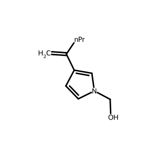 C=C(CCC)c1ccn(CO)c1